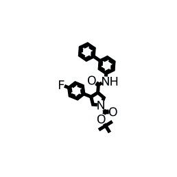 CC(C)(C)OC(=O)N1CC(C(=O)Nc2cccc(-c3ccccc3)c2)C(c2ccc(F)cc2)C1